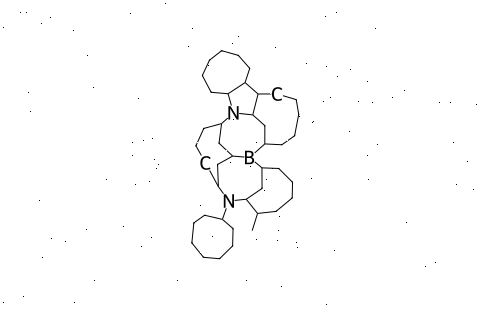 CC1CCCCC2CC1N(C1CCCCCCC1)C1CCCC3CC(C1)B2C1CCCCCC2C4CCCCCCC4N3C2C1